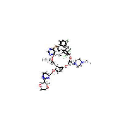 Cc1c(Cl)c2c(Cl)c(C)c1-c1c(-c3ccc(F)cc3)sc3ncnc(c13)O[C@@H](C(=O)O)Cc1cc(ccc1OCc1ccnc(C3COCCOC3)n1)OC[C@@H](CN1CCN(C)CC1)O2